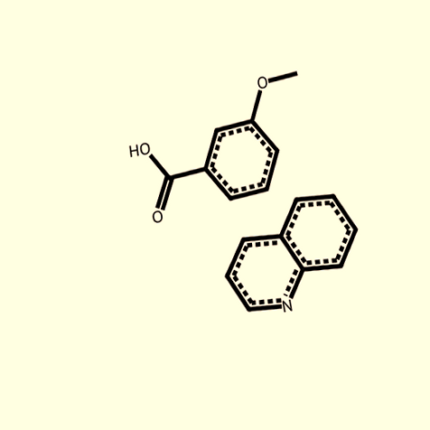 COc1cccc(C(=O)O)c1.c1ccc2ncccc2c1